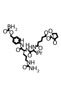 BC(=O)OCc1ccc(NC(=O)[C@H](CCCNC(N)=O)NC(=O)C(NC(=O)CCCC(=O)ON2C(=O)CCC2=O)C(C)C)cc1